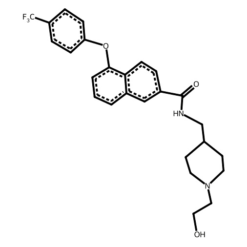 O=C(NCC1CCN(CCO)CC1)c1ccc2c(Oc3ccc(C(F)(F)F)cc3)cccc2c1